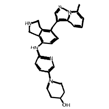 Cc1cccc2c(-c3ccc(Nc4ccc(N5CCC(O)CC5)cn4)c4c3CNC4)cnn12